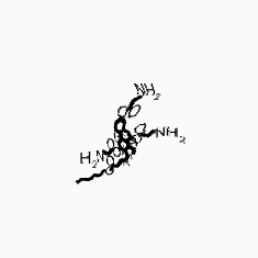 CCCCCCOC(=O)CC[C@@H](C)[C@H]1CC[C@H]2C3[C@H](OC(=O)CCN)CC4C[C@H](OC(=O)CCN)CC[C@]4(C)[C@H]3C[C@H](OC(=O)CCN)[C@]12C